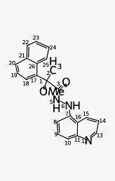 COC(C)(C(=O)NNc1cccc2ncccc12)c1cccc2ccccc12